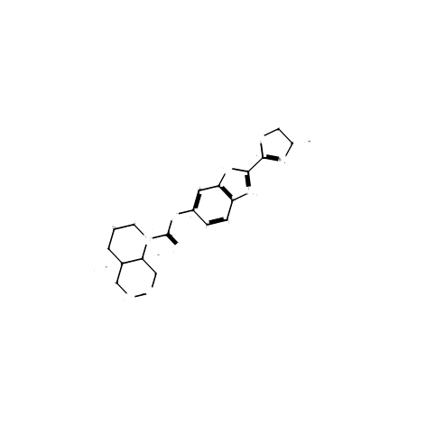 O=C(O)[C@H]1CSC(c2nc3ccc(OC(=O)N4CCC[C@@H]5CSSC[C@@H]54)cc3s2)=N1